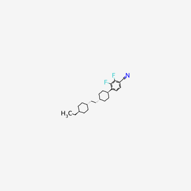 CC[C@H]1CC[C@H](CC[C@H]2CC[C@H](c3ccc(C#N)c(F)c3F)CC2)CC1